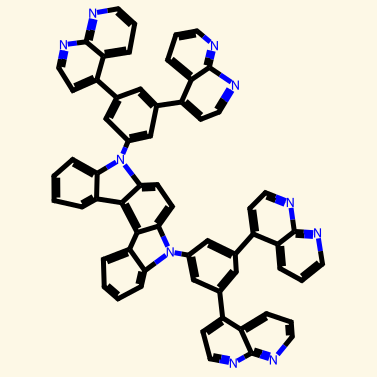 c1cnc2nccc(-c3cc(-c4ccnc5ncccc45)cc(-n4c5ccccc5c5c6c7ccccc7n(-c7cc(-c8ccnc9ncccc89)cc(-c8ccnc9ncccc89)c7)c6ccc54)c3)c2c1